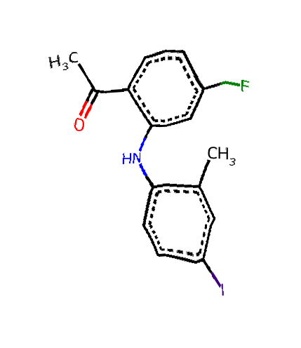 CC(=O)c1ccc(F)cc1Nc1ccc(I)cc1C